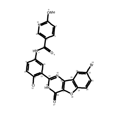 COc1ccc(C(=O)Nc2ccc(Cl)c(-c3nc4c(oc5ccc(Br)cc54)c(=O)[nH]3)c2)cn1